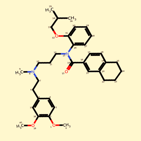 COc1ccc(CCN(C)CCCN(C(=O)c2ccc3c(c2)CCCC3)c2ccccc2OCC(C)C)cc1OC